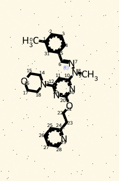 Cc1cccc(/C=N/N(C)c2cc(N3CCOCC3)nc(OCCc3ccccn3)n2)c1